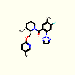 Cc1cc(C(=O)N2CCC[C@@H](C)[C@H]2COc2ccc(C(F)(F)F)cn2)c(-n2nccn2)cc1F